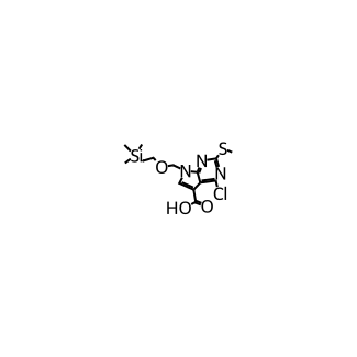 CSc1nc(Cl)c2c(C(=O)O)cn(COCC[Si](C)(C)C)c2n1